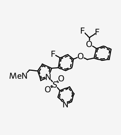 CNCc1cc(-c2ccc(OCc3ccccc3OC(F)F)cc2F)n(S(=O)(=O)c2cccnc2)c1